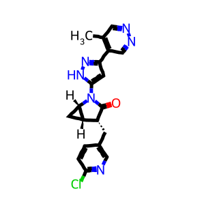 Cc1cnncc1-c1cc(N2C(=O)[C@H](Cc3ccc(Cl)nc3)[C@@H]3C[C@@H]32)[nH]n1